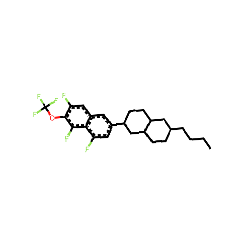 CCCCC1CCC2CC(c3cc(F)c4c(F)c(OC(F)(F)F)c(F)cc4c3)CCC2C1